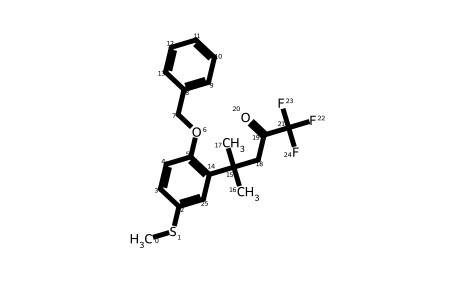 CSc1ccc(OCc2ccccc2)c(C(C)(C)CC(=O)C(F)(F)F)c1